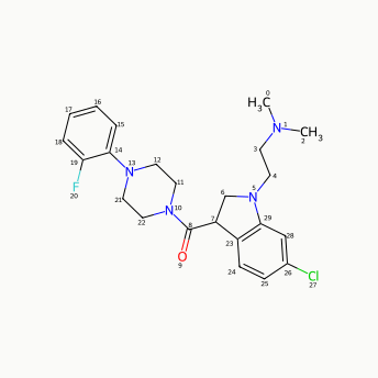 CN(C)CCN1CC(C(=O)N2CCN(c3ccccc3F)CC2)c2ccc(Cl)cc21